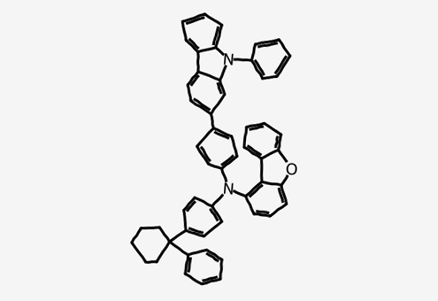 c1ccc(-n2c3ccccc3c3ccc(-c4ccc(N(c5ccc(C6(c7ccccc7)CCCCC6)cc5)c5cccc6oc7ccccc7c56)cc4)cc32)cc1